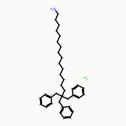 Cl.NCCCCCCCCCCCCCCCC(Cc1ccccc1)(Cc1ccccc1)Cc1ccccc1